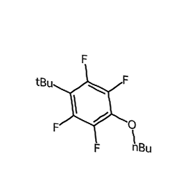 CCCCOc1c(F)c(F)c(C(C)(C)C)c(F)c1F